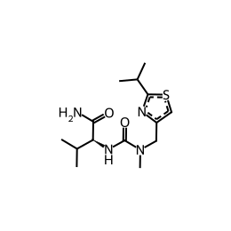 CC(C)c1nc(CN(C)C(=O)N[C@H](C(N)=O)C(C)C)cs1